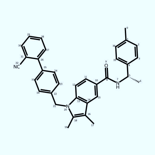 Cc1ccc([C@H](C)NC(=O)c2ccc3c(c2)c(C)c(C)n3Cc2ccc(-c3ccccc3C#N)cc2)cc1